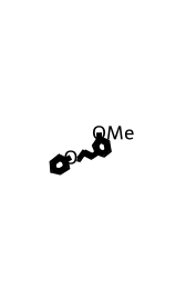 COc1cccc(C=CCOc2ccccc2)c1